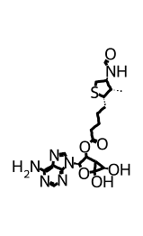 C[C@H]1[C@@H](NC=O)CS[C@H]1CCCCC(=O)OC1C2[C@@H](O)C2(O)O[C@H]1n1cnc2c(N)ncnc21